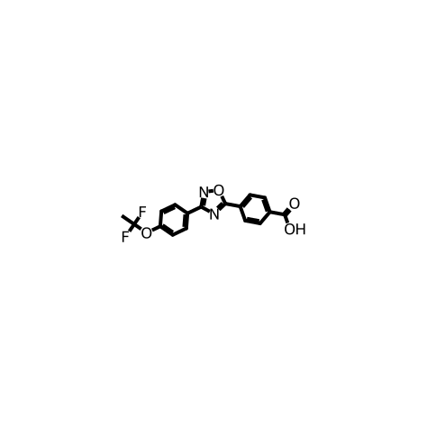 CC(F)(F)Oc1ccc(-c2noc(-c3ccc(C(=O)O)cc3)n2)cc1